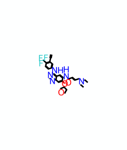 C#Cc1cc(Nc2ncnc3cc(O[C@H]4CCOC4)c(NC(=O)C=CCN(CC)CC)cc23)ccc1C(F)(F)F